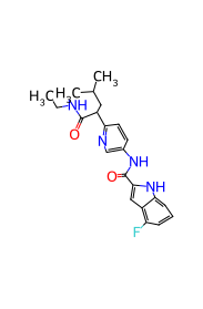 CCNC(=O)C(CC(C)C)c1ccc(NC(=O)c2cc3c(F)cccc3[nH]2)cn1